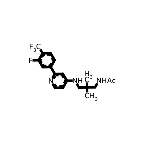 CC(=O)NCC(C)(C)CNc1ccnc(-c2ccc(C(F)(F)F)c(F)c2)c1